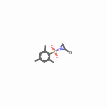 CCC1CN1S(=O)(=O)c1c(C)cc(C)cc1C